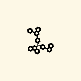 c1ccc(-c2cc(-c3ccc(N(c4ccc(-c5cccc6ccccc56)cc4)c4cc5ccccc5c5ccccc45)cc3)cc3ccccc23)cc1